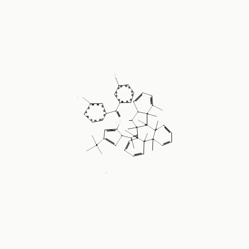 CC1=CC=CC2[CH]([Zr+2]([C]3=CC(C(C)(C)C)=CC3C(C)C)=[C](c3cccc(Cl)c3)c3cccc(Cl)c3)C3(C)C4(C)C=CC=CC4(C)C4(C)C=CC=CC4(C)C3(C)C12C.[Cl-].[Cl-]